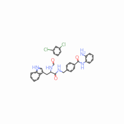 Clc1cccc(Cl)c1.Nc1ccccc1NC(=O)c1ccc(CNC(=O)C(Cc2c[nH]c3ccccc23)NC=O)cc1